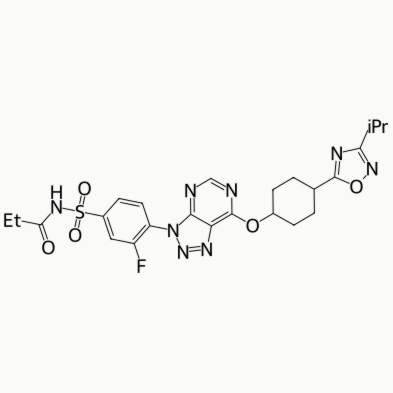 CCC(=O)NS(=O)(=O)c1ccc(-n2nnc3c(OC4CCC(c5nc(C(C)C)no5)CC4)ncnc32)c(F)c1